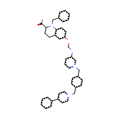 O=C(O)C1CCc2cc(OCNc3ccc[n+](Cc4ccc(C[n+]5ccc(-c6ccccc6)cc5)cc4)c3)ccc2N1Cc1ccccc1